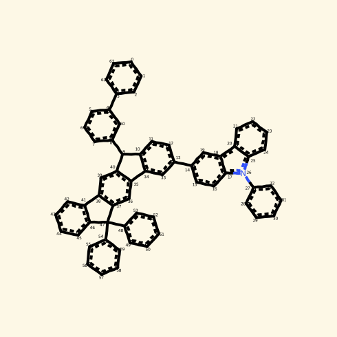 c1ccc(-c2cccc(C3c4ccc(-c5ccc6c(c5)c5ccccc5n6-c5ccccc5)cc4-c4cc5c(cc43)-c3ccccc3C5(c3ccccc3)c3ccccc3)c2)cc1